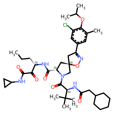 CCC[C@H](NC(=O)[C@@H]1C[C@]2(CC(c3cc(C)c(OC(C)C)c(Cl)c3)=NO2)CN1C(=O)[C@@H](NC(=O)CC1CCCCC1)C(C)(C)C)C(=O)C(=O)NC1CC1